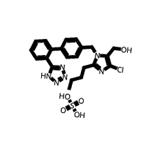 CCCCc1nc(Cl)c(CO)n1Cc1ccc(-c2ccccc2-c2nnn[nH]2)cc1.O=S(=O)(O)O